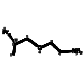 CC(C)[C@@H](C)COCCN